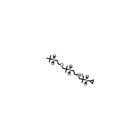 CC(C)(C)S(=O)(=O)CCOCC(C)(C)S(=O)(=O)CCNCC(C)(C)S(=O)(=O)C1CC1